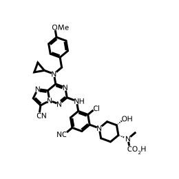 COc1ccc(CN(c2nc(Nc3cc(C#N)cc(N4CC[C@@H](N(C)C(=O)O)[C@@H](O)C4)c3Cl)nn3c(C#N)cnc23)C2CC2)cc1